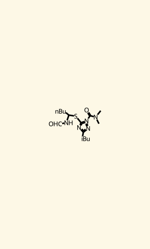 CCCCC(NC=O)Sc1nc(C(C)CC)nn1C(=O)N(C)C